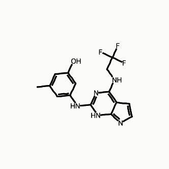 Cc1cc(O)cc(Nc2nc(NCC(F)(F)F)c3ccnc-3[nH]2)c1